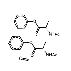 C=O.CC(=O)N[C@@H](C)C(=O)Oc1ccccc1.CC(=O)N[C@@H](C)C(=O)Oc1ccccc1